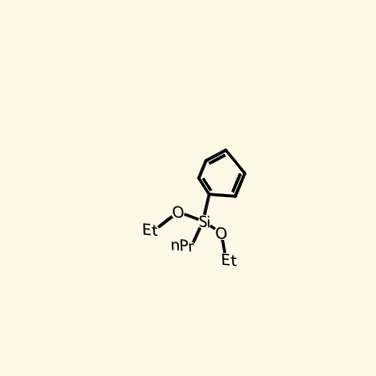 CCC[Si](OCC)(OCC)c1ccccc1